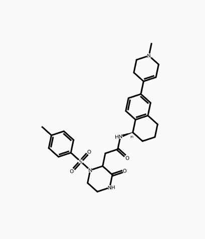 Cc1ccc(S(=O)(=O)N2CCNC(=O)C2CC(=O)N[C@@H]2CCCc3cc(C4=CCN(C)CC4)ccc32)cc1